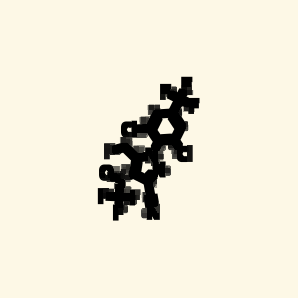 N#Cc1nn(-c2c(Cl)cc(C(F)(F)F)cc2Cl)c(CF)c1[S+]([O-])C(F)(F)F